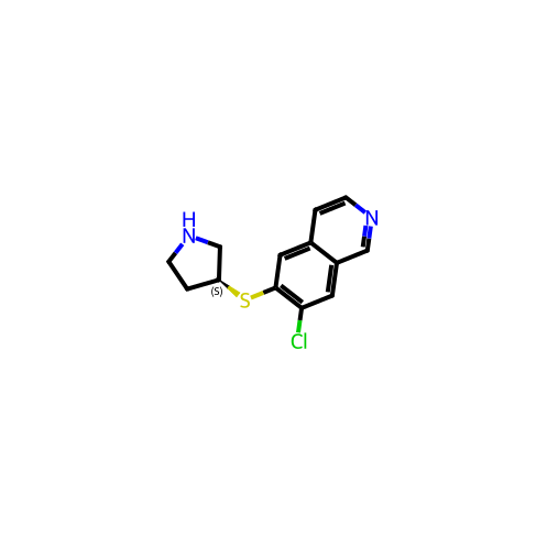 Clc1cc2cnccc2cc1S[C@H]1CCNC1